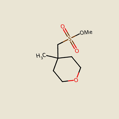 COS(=O)(=O)CC1(C)CCOCC1